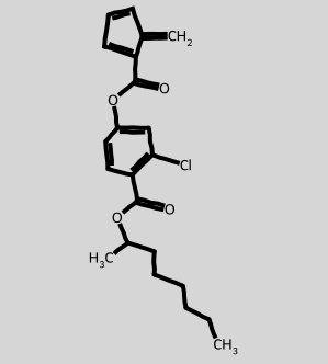 C=C1C=CC=C1C(=O)Oc1ccc(C(=O)OC(C)CCCCCC)c(Cl)c1